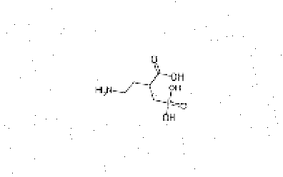 NCCC(CP(=O)(O)O)C(=O)O